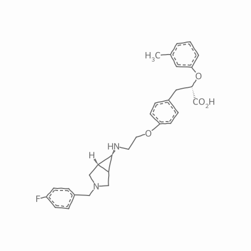 Cc1cccc(O[C@@H](Cc2ccc(OCCN[C@H]3C4CN(Cc5ccc(F)cc5)C[C@@H]43)cc2)C(=O)O)c1